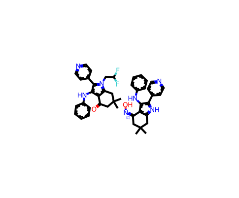 CC1(C)C/C(=N/O)c2c([nH]c(-c3ccncc3)c2Nc2ccccc2)C1.CC1(C)CC(=O)c2c(Nc3ccccc3)c(-c3ccncc3)n(CC(F)F)c2C1